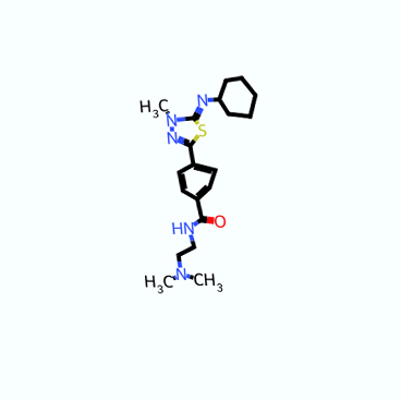 CN(C)CCNC(=O)c1ccc(-c2nn(C)c(=NC3CCCCC3)s2)cc1